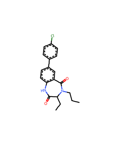 CCCN1C(=O)c2cc(-c3ccc(Cl)cc3)ccc2NC(=O)C1CC